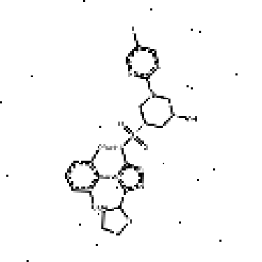 COc1cccc(OC)c1-n1c(NS(=O)(=O)[C@H]2C[C@H](O)CN(c3ncc(F)cn3)C2)nnc1C1CCCO1